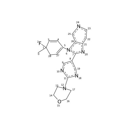 CC1(F)C=CC(n2c(-c3cnc(N4CCOCC4)nc3)nc3ccncc32)=CC1